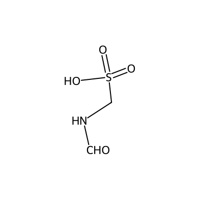 O=CNCS(=O)(=O)O